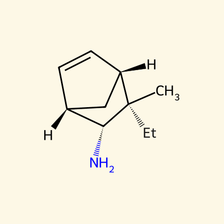 CC[C@]1(C)[C@H](N)[C@@H]2C=C[C@H]1C2